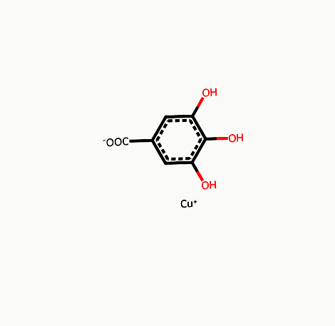 O=C([O-])c1cc(O)c(O)c(O)c1.[Cu+]